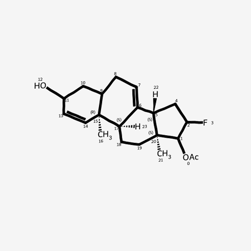 CC(=O)OC1C(F)C[C@H]2C3=CCC4CC(O)C=C[C@]4(C)[C@@H]3CC[C@]12C